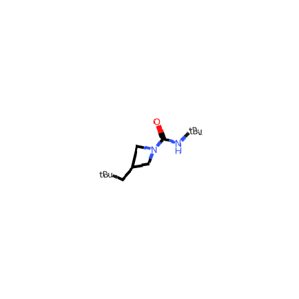 CC(C)(C)CC1CN(C(=O)NC(C)(C)C)C1